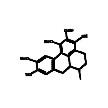 COc1cc2c(cc1O)CC1c3c(c(O)c(OC)c(OC)c3-2)CCN1C